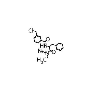 CCN(C#N)C(=O)C(Cc1ccccc1)NC(=O)c1cccc(CCl)c1